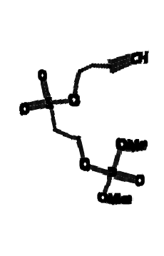 C#CCOS(=O)(=O)CCOP(=O)(OC)OC